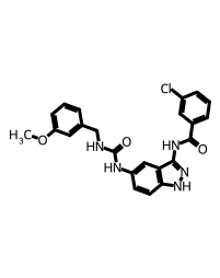 COc1cccc(CNC(=O)Nc2ccc3[nH]nc(NC(=O)c4cccc(Cl)c4)c3c2)c1